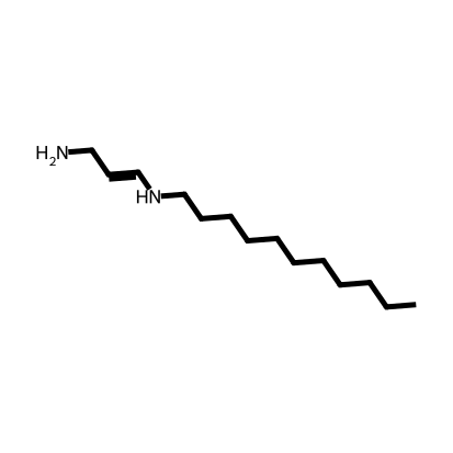 CCCCCCCCCCCNC=CCN